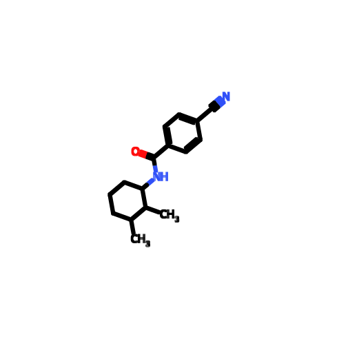 CC1CCCC(NC(=O)c2ccc(C#N)cc2)C1C